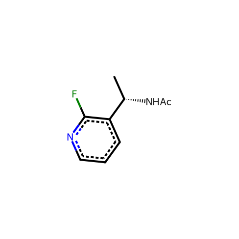 CC(=O)N[C@@H](C)c1cccnc1F